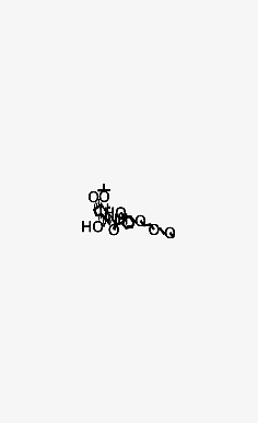 COCCOCCOc1ccc(C(=O)N[C@@H](CO)[C@H]2CC[C@H](C(=O)OC(C)(C)C)N2C)c(O)c1